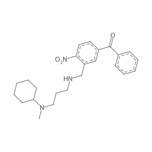 CN(CCCNCc1cc(C(=O)c2ccccc2)ccc1[N+](=O)[O-])C1CCCCC1